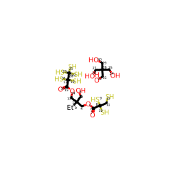 CCC(CO)(COC(=O)C(S)(S)CS)COC(=O)C(S)(S)C(S)(S)S.OCC(CO)(CO)CO